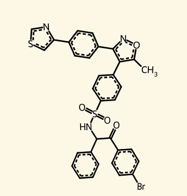 Cc1onc(-c2ccc(-c3cscn3)cc2)c1-c1ccc(S(=O)(=O)NC(C(=O)c2ccc(Br)cc2)c2ccccc2)cc1